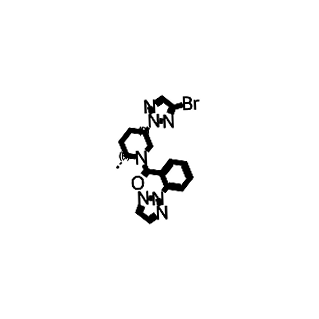 C[C@@H]1CC[C@@H](n2ncc(Br)n2)CN1C(=O)c1ccccc1-n1nccn1